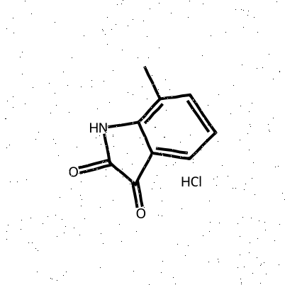 Cc1cccc2c1NC(=O)C2=O.Cl